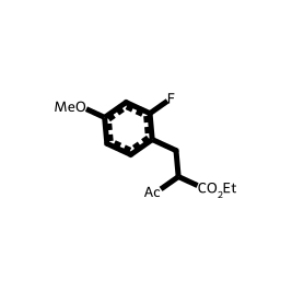 CCOC(=O)C(Cc1ccc(OC)cc1F)C(C)=O